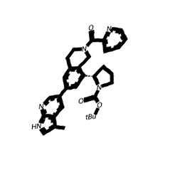 Cc1c[nH]c2ncc(-c3cc4c(c([C@@H]5CCCN5C(=O)OC(C)(C)C)c3)CN(C(=O)c3ccccn3)CC4)cc12